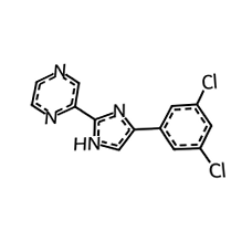 Clc1cc(Cl)cc(-c2c[nH]c(-c3cnccn3)n2)c1